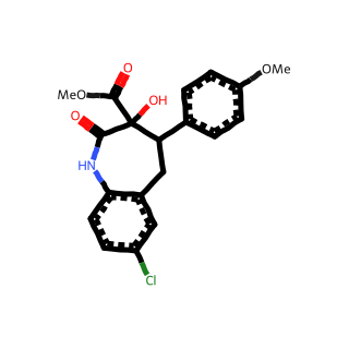 COC(=O)C1(O)C(=O)Nc2ccc(Cl)cc2CC1c1ccc(OC)cc1